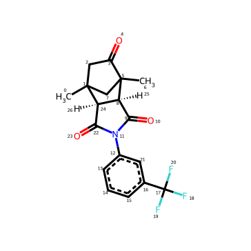 CC12CC(=O)C(C)(C1)[C@H]1C(=O)N(c3cccc(C(F)(F)F)c3)C(=O)[C@H]12